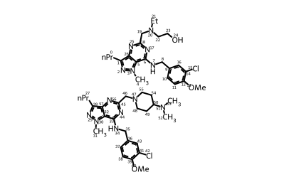 CCCc1nn(C)c2c(NCc3ccc(OC)c(Cl)c3)nc(CN(CC)CCO)nc12.CCCc1nn(C)c2c(NCc3ccc(OC)c(Cl)c3)nc(CN3CCC(N(C)C)CC3)nc12